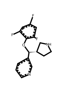 Fc1cc(F)c(OC(c2cccnc2)[C@H]2CCNC2)c(F)c1